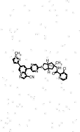 Cn1ccc(-c2cc(-c3cnc(N4C[C@@H]5C[C@@](C)(NC(=O)c6ncccc6Cl)C[C@@H]5C4)cn3)c3c(C#N)cnn3c2)n1